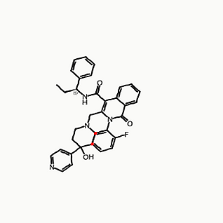 CC[C@H](NC(=O)c1c(CN2CCC(O)(c3ccncc3)CC2)n(-c2ccccc2F)c(=O)c2ccccc12)c1ccccc1